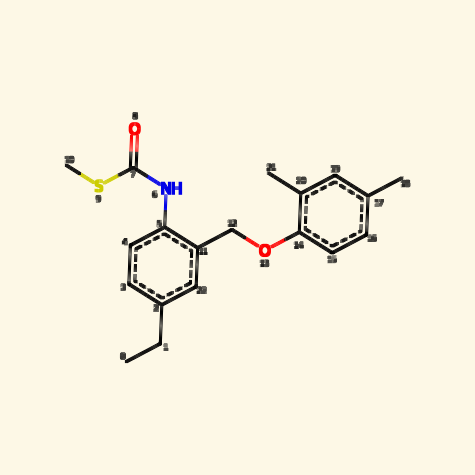 CCc1ccc(NC(=O)SC)c(COc2ccc(C)cc2C)c1